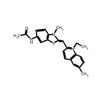 CC[n+]1c(/C=C2\Sc3cc(NC(C)=O)ccc3N2C)ccc2cc(C)ccc21